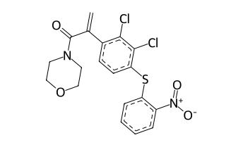 C=C(C(=O)N1CCOCC1)c1ccc(Sc2ccccc2[N+](=O)[O-])c(Cl)c1Cl